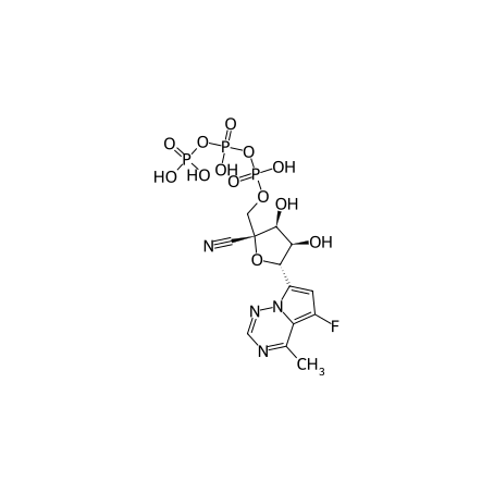 Cc1ncnn2c([C@@H]3O[C@](C#N)(COP(=O)(O)OP(=O)(O)OP(=O)(O)O)[C@@H](O)[C@H]3O)cc(F)c12